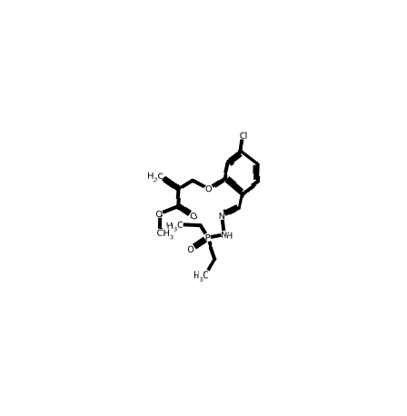 C=C(COc1cc(Cl)ccc1C=NNP(=O)(CC)CC)C(=O)OC